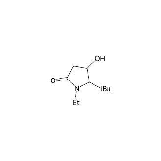 CCC(C)C1C(O)CC(=O)N1CC